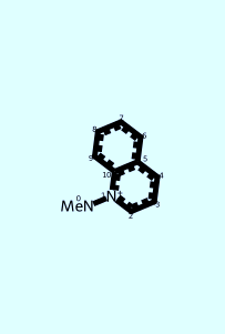 CN[n+]1cccc2ccccc21